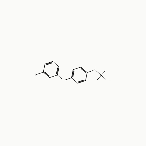 CC(C)(C)Nc1ccc(Sc2cccc(Cl)c2)cc1